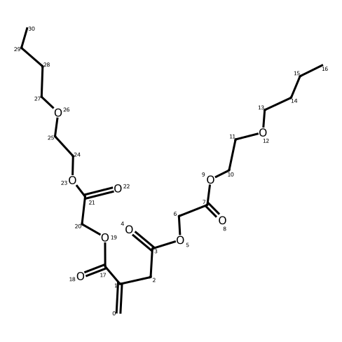 C=C(CC(=O)OCC(=O)OCCOCCCC)C(=O)OCC(=O)OCCOCCCC